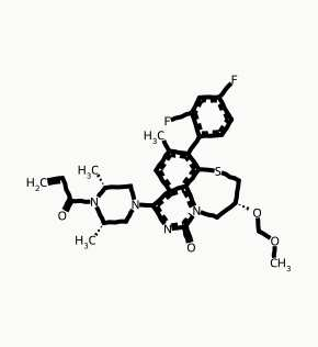 C=CC(=O)N1[C@H](C)CN(c2nc(=O)n3c4c(c(-c5ccc(F)cc5F)c(C)cc24)SC[C@H](OCOC)C3)C[C@@H]1C